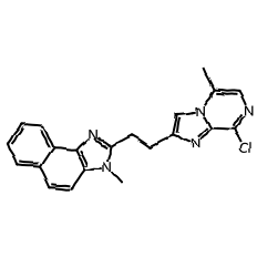 Cc1cnc(Cl)c2nc(CCc3nc4c5ccccc5ccc4n3C)cn12